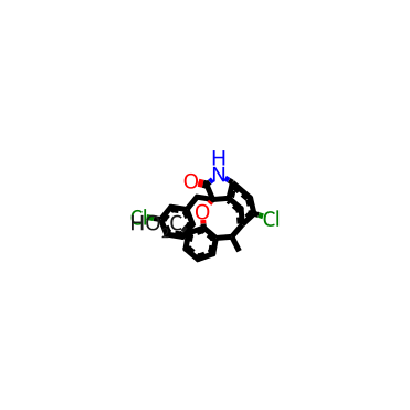 CC1c2cc3c(cc2Cl)NC(=O)C3(Cc2cccc(Cl)c2)Oc2c(C(=O)O)cccc21